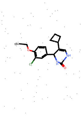 CC(C)(C)COc1ccc(C2NC(=O)NC=C2C2CCC2)cc1Cl